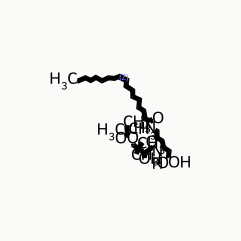 CCCCCCCC/C=C\CCCCCCCC(=O)NCCCC(CC(=O)O)NC(=O)C(O)C(C)(C)COC(=O)C(C)(C)C